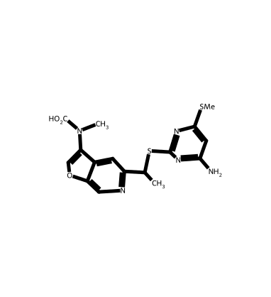 CSc1cc(N)nc(SC(C)c2cc3c(N(C)C(=O)O)coc3cn2)n1